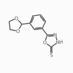 S=c1[nH]nc(-c2cccc(C3OCCO3)c2)o1